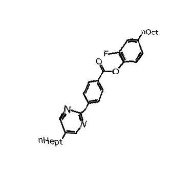 CCCCCCCCc1ccc(OC(=O)c2ccc(-c3ncc(CCCCCCC)cn3)cc2)c(F)c1